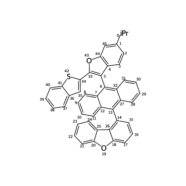 CC(C)c1ccc2c(-c3c4ccccc4c(-c4cccc5oc6ccccc6c45)c4ccccc34)c(-c3cc4ccccc4s3)oc2c1